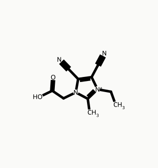 CC[n+]1c(C#N)c(C#N)n(CC(=O)O)c1C